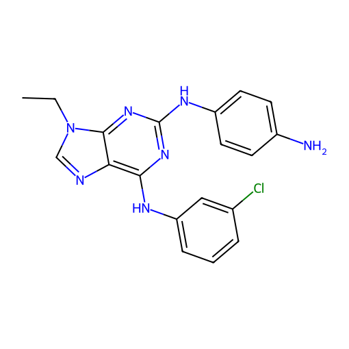 CCn1cnc2c(Nc3cccc(Cl)c3)nc(Nc3ccc(N)cc3)nc21